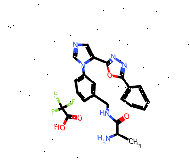 CC(N)C(=O)NCc1cccc(-n2cncc2-c2nnc(-c3ccccc3)o2)c1.O=C(O)C(F)(F)F